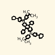 CC(C)c1ccc(N(c2ccc(C3CCCCC3)cc2)c2ccc3c(-c4ccccc4)c4cc(N(c5ccc(C(C)C)cc5)c5ccc(C6CCCCC6)cc5)ccc4c(-c4ccccc4)c3c2)cc1